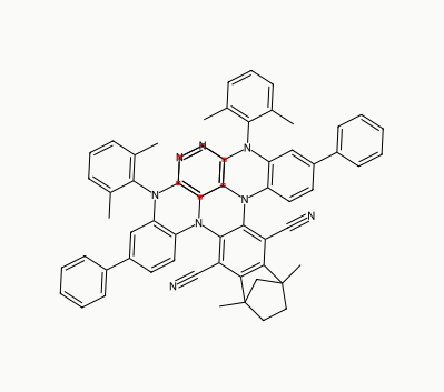 Cc1cccc(C)c1N1c2cnccc2N(c2c(C#N)c3c(c(C#N)c2N2c4ccncc4N(c4c(C)cccc4C)c4cc(-c5ccccc5)ccc42)C2(C)CCC3(C)C2)c2ccc(-c3ccccc3)cc21